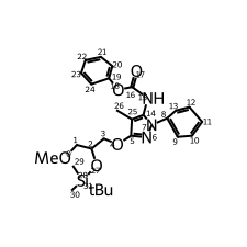 COCC(COc1nn(-c2ccccc2)c(NC(=O)Oc2ccccc2)c1C)O[Si](C)(C)C(C)(C)C